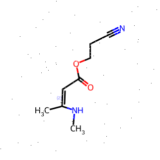 CN/C(C)=C\C(=O)OCCC#N